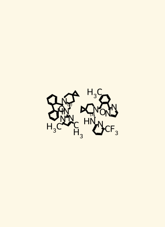 Cc1cc(C)nc(NC[C@@H]2CC3(CCN2C(=O)c2ccccc2-c2ccccc2)CC3)n1.Cc1ccc(-c2ncccn2)c(C(=O)N2CCC3(CC3)C[C@H]2CNc2cccc(C(F)(F)F)n2)c1